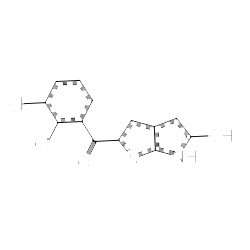 Cc1cc2cc(C(=O)c3cccc(Cl)c3Cl)sc2[nH]1